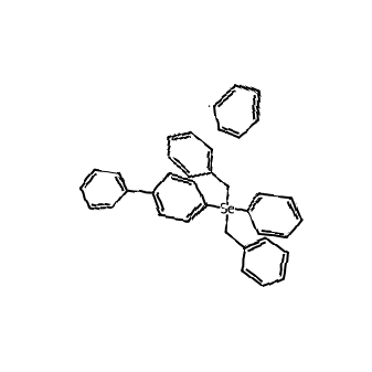 [c]1ccccc1.c1ccc(C[Se](Cc2ccccc2)(c2ccccc2)c2ccc(-c3ccccc3)cc2)cc1